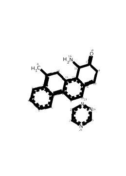 CC1=c2ccccc2=c2ccc3c(c2C1)C(N)C(=O)CC=3.c1cnncn1